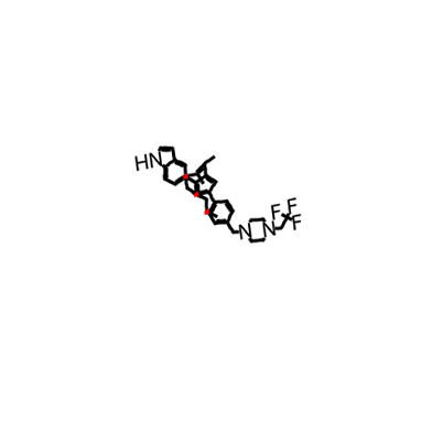 CCC/C=C(C1=C/C(c2ccc(CN3CCN(CC(F)(F)F)CC3)cc2)=C\CC/C(C)=C/1C)/c1ccc2[nH]ccc2c1